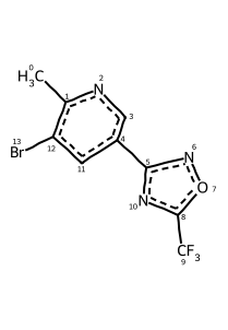 Cc1ncc(-c2noc(C(F)(F)F)n2)cc1Br